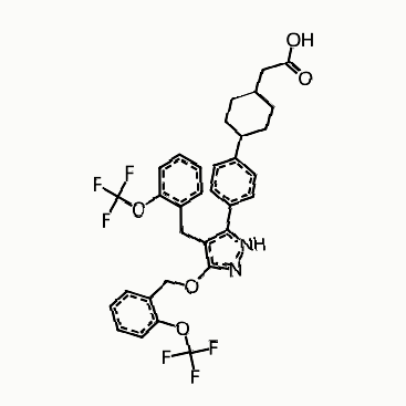 O=C(O)CC1CCC(c2ccc(-c3[nH]nc(OCc4ccccc4OC(F)(F)F)c3Cc3ccccc3OC(F)(F)F)cc2)CC1